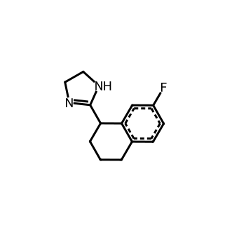 Fc1ccc2c(c1)C(C1=NCCN1)CCC2